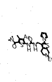 CCN1CCc2c(sc(-n3cccc3)c2CNC(=O)Nc2sc(C(=O)N(C)C)c(C)c2C(C)=O)C1